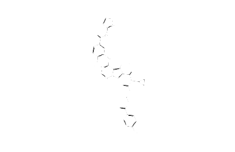 Cc1ccc(C(=O)Nc2ccon2)cc1Nc1ncnn2cc(C(=O)N(C(=O)OCOC(=O)c3ccc(O)cc3)C3CC3)c(C)c12